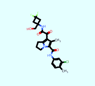 Cc1ccc(NC(=O)c2c(C)c(C(=O)C(=O)NC3(CO)CC(F)(F)C3)c3n2CCC3)cc1Cl